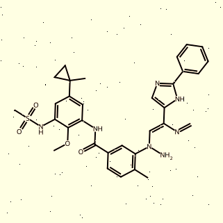 C=N/C(=C\N(N)c1cc(C(=O)Nc2cc(C3(C)CC3)cc(NS(C)(=O)=O)c2OC)ccc1C)c1cnc(-c2ccccc2)[nH]1